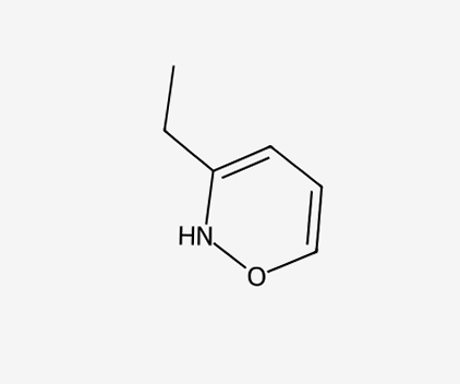 CCC1=CC=CON1